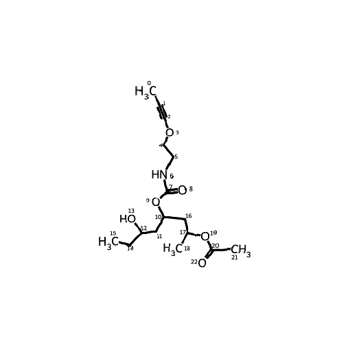 CC#COCCNC(=O)OC(CC(O)CC)CC(C)OC(C)=O